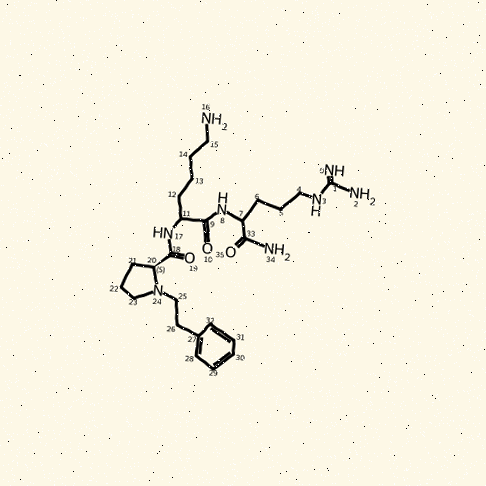 N=C(N)NCCCC(NC(=O)C(CCCCN)NC(=O)[C@@H]1CCCN1CCc1ccccc1)C(N)=O